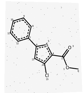 COC(=O)c1sc(-c2ccccc2)cc1Cl